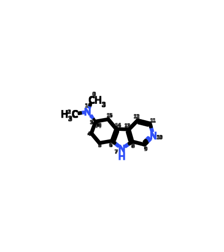 CN(C)[C@@H]1CCc2[nH]c3cnccc3c2C1